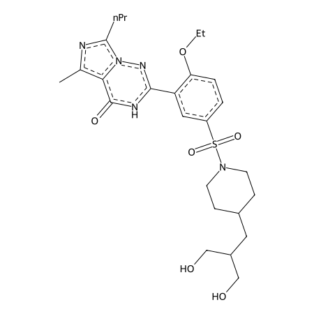 CCCc1nc(C)c2c(=O)[nH]c(-c3cc(S(=O)(=O)N4CCC(CC(CO)CO)CC4)ccc3OCC)nn12